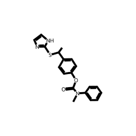 CC(Sc1ncc[nH]1)c1ccc(OC(=O)N(C)c2ccccc2)cc1